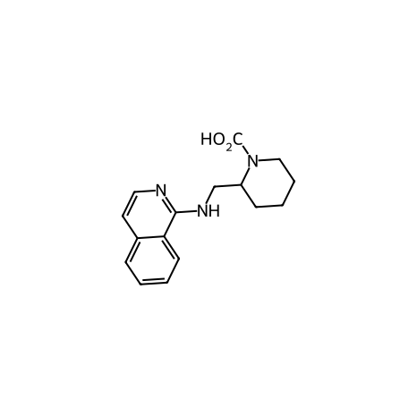 O=C(O)N1CCCCC1CNc1nccc2ccccc12